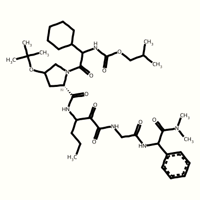 CCCC(NC(=O)[C@@H]1CC(OC(C)(C)C)CN1C(=O)C(NC(=O)OCC(C)C)C1CCCCC1)C(=O)C(=O)NCC(=O)NC(C(=O)N(C)C)c1ccccc1